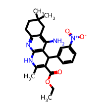 CCOC(=O)C1=C(C)Nc2nc3c(c(N)c2C1c1cccc([N+](=O)[O-])c1)CC(C)(C)CC3